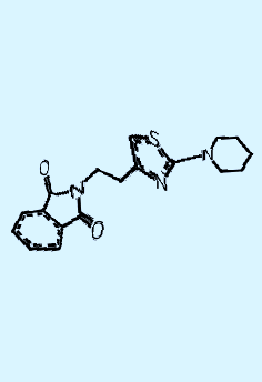 O=C1c2ccccc2C(=O)N1CCc1csc(N2CCCCC2)n1